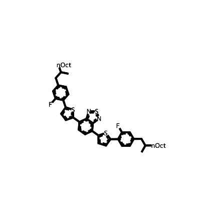 CCCCCCCCC(C)Cc1ccc(-c2ccc(-c3ccc(-c4ccc(-c5ccc(CC(C)CCCCCCCC)cc5F)s4)c4nsnc34)s2)c(F)c1